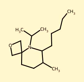 CCCCCC1C(C)CCC2(COC2)N1C(C)C